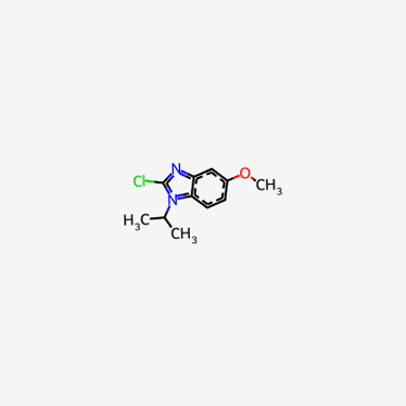 COc1ccc2c(c1)nc(Cl)n2C(C)C